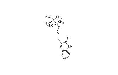 CC(C)(C)[Si](C)(C)OCCCc1cc2ccccc2[nH]c1=O